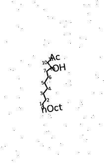 CCCCCCCCCCCCCCCC(O)CC(C)=O